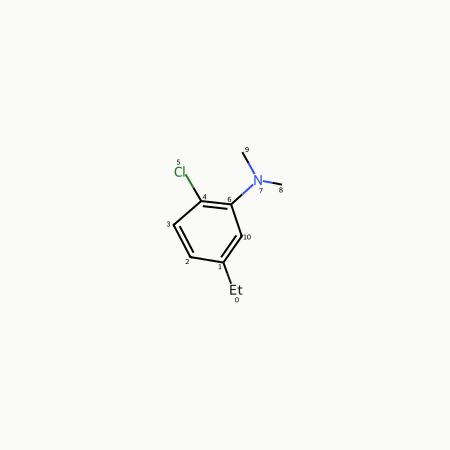 CCc1ccc(Cl)c(N(C)C)c1